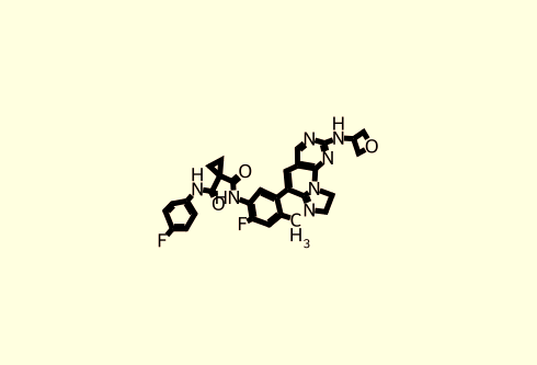 Cc1cc(F)c(NC(=O)C2(C(=O)Nc3ccc(F)cc3)CC2)cc1C1=Cc2cnc(NC3COC3)nc2N2CCN=C12